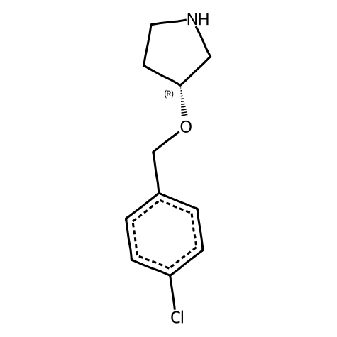 Clc1ccc(CO[C@@H]2CCNC2)cc1